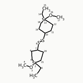 CC[Si]1(OC)CCC(SSC2CC[Si](CC)(OC)CC2)CC1